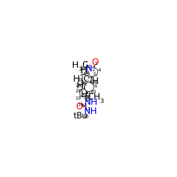 CN1C(=O)CC[C@]2(C)[C@H]3CC[C@]4(C)C(NC(=O)NC(C)(C)C)CC[C@H]4[C@@H]3CC[C@@H]12